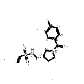 C=CS(=O)(=O)NC[C@H]1CCN(C(=O)c2ccc(C)cc2)C1